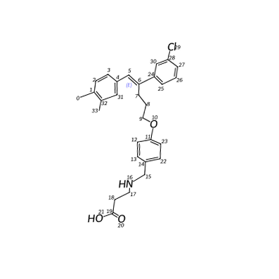 Cc1ccc(/C=C(\CCCOc2ccc(CNCCC(=O)O)cc2)c2cccc(Cl)c2)cc1C